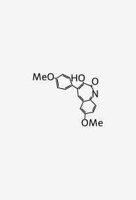 COc1ccc(-c2cc3cc(OC)ccc3nc(=O)c2O)cc1